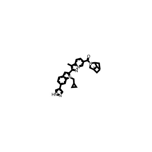 Cc1c(-c2cc3ccc(-c4cn[nH]c4)cc3n2CC2CC2)nn2cc(C(=O)N3CC4CC5CC3[C@H]54)ccc12